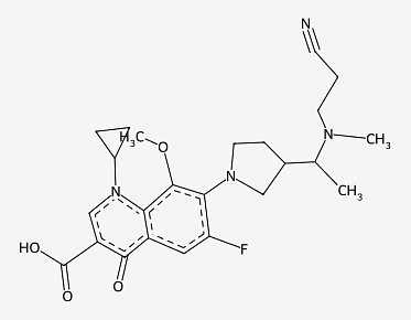 COc1c(N2CCC(C(C)N(C)CCC#N)C2)c(F)cc2c(=O)c(C(=O)O)cn(C3CC3)c12